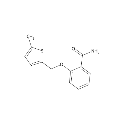 Cc1ccc(COc2ccccc2C(N)=O)s1